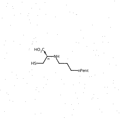 CCCCCCCCN[C@@H](CS)C(=O)O